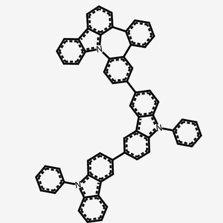 c1ccc(-n2c3ccccc3c3cc(-c4ccc5c(c4)c4cc(-c6ccc7c(c6)-c6ccccc6-c6cccc8c9ccccc9n-7c68)ccc4n5-c4ccccc4)ccc32)cc1